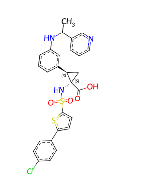 CC(Nc1cccc([C@H]2C[C@@]2(NS(=O)(=O)c2ccc(-c3ccc(Cl)cc3)s2)C(=O)O)c1)c1cccnc1